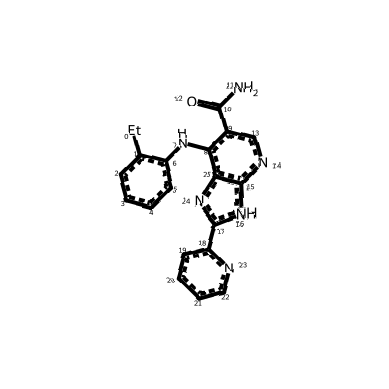 CCc1ccccc1Nc1c(C(N)=O)cnc2[nH]c(-c3ccccn3)nc12